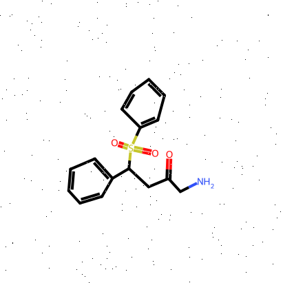 NCC(=O)CC(c1ccccc1)S(=O)(=O)c1ccccc1